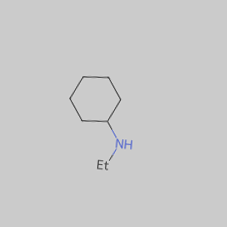 [CH2]CNC1CCCCC1